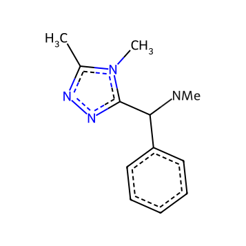 CNC(c1ccccc1)c1nnc(C)n1C